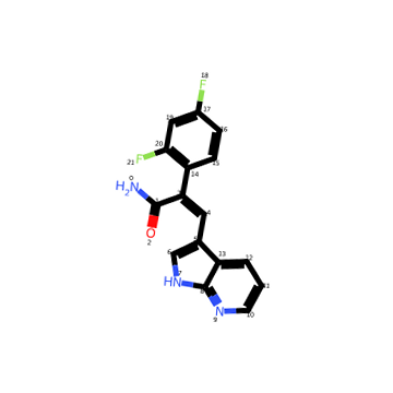 NC(=O)/C(=C\c1c[nH]c2ncccc12)c1ccc(F)cc1F